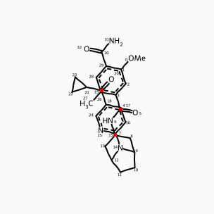 COc1cc(C(=O)NC2CC3CCC(C2)N3c2ccc(C(=O)C3CC3)cn2)c(C)cc1C(N)=O